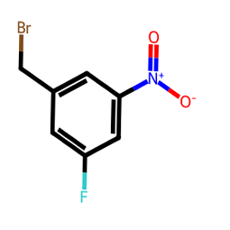 O=[N+]([O-])c1cc(F)cc(CBr)c1